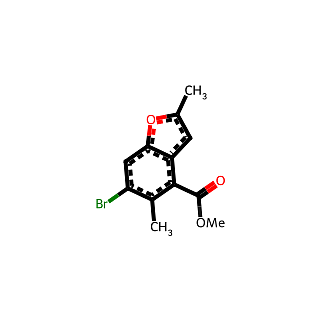 COC(=O)c1c(C)c(Br)cc2oc(C)cc12